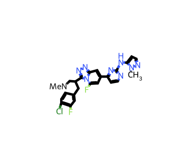 CNCC(Cc1ccc(Cl)c(F)c1)c1nnc2cc(-c3ccnc(Nc4ccnn4C)n3)cc(F)n12